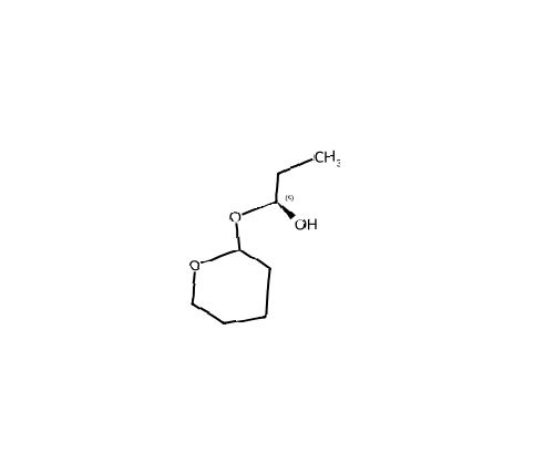 CC[C@@H](O)OC1CCCCO1